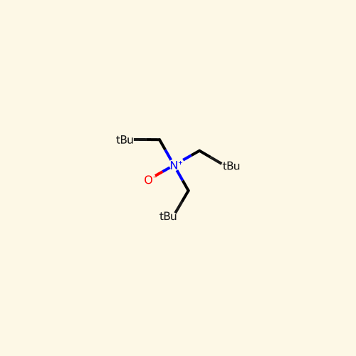 CC(C)(C)C[N+]([O-])(CC(C)(C)C)CC(C)(C)C